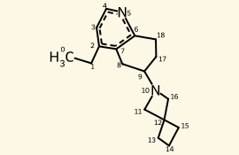 CCc1ccnc2c1CC(N1CC3(CCC3)C1)CC2